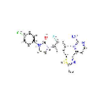 CC(C)(C)c1nc(-c2ccnc(N)n2)c(-c2ccc(F)c(N3CCN(c4ccc(Cl)cc4)C3=O)c2)s1